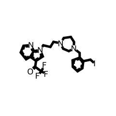 O=C(c1cn(CCCN2CCCN(Cc3ccccc3CI)CC2)c2ncccc12)C(F)(F)F